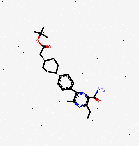 CCc1nc(C)c(-c2ccc([C@H]3CC[C@H](CC(=O)OC(C)(C)C)CC3)cc2)nc1C(N)=O